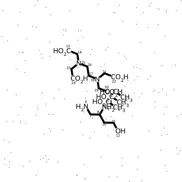 CC(=O)O.CC(=O)O.CC(=O)O.NCC(N)CCO.O=C(O)CN(CCN(CC(=O)O)CC(=O)O)CC(=O)O